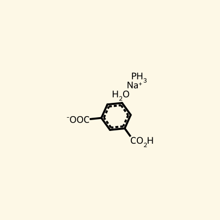 O.O=C([O-])c1cccc(C(=O)O)c1.P.[Na+]